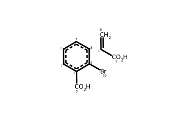 C=CC(=O)O.O=C(O)c1ccccc1Br